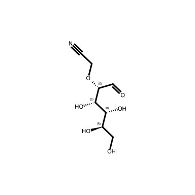 N#CCO[C@H](C=O)[C@@H](O)[C@H](O)[C@H](O)CO